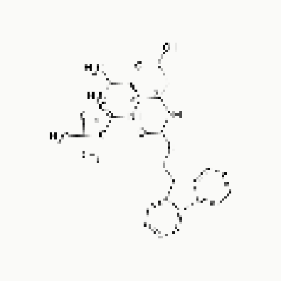 CC(C)C[C@H](NC(=O)OC(C)(C)C)[C@H](CC(=O)O)NC(=O)OCC1c2ccccc2-c2ccccc21